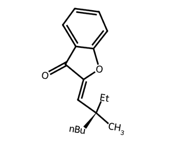 CCCC[C@@](C)(/C=C1\Oc2ccccc2C1=O)CC